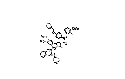 COc1cc(-c2cc(C(=O)N(Cc3cccc(OC)c3C)c3ccc(OCc4ccccc4)cc3)c(C)n2C)c(C(=O)N2Cc3ccccc3C[C@H]2CN2CCOCC2)cc1C#N